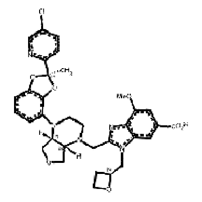 COc1cc(C(=O)O)cc2c1nc(CN1CCN(c3cccc4c3O[C@](C)(c3ccc(Cl)cn3)O4)[C@H]3COC[C@H]31)n2C[C@@H]1CCO1